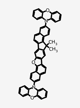 CC1(C)c2cc3c(cc2-c2ccc4cc(N5c6ccccc6Oc6ccccc65)ccc4c21)oc1c2ccc(N4c5ccccc5Oc5ccccc54)cc2ccc31